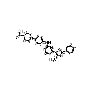 CC(=O)N1CCN(c2ccc(Nc3nccc(-c4sc(-c5ccccc5)nc4C)n3)cc2)CC1